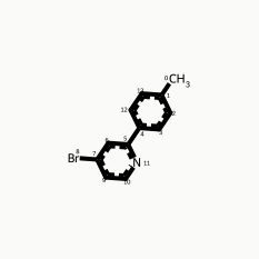 Cc1ccc(-c2cc(Br)ccn2)cc1